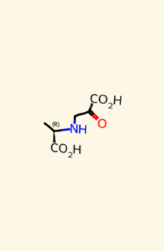 C[C@@H](NCC(=O)C(=O)O)C(=O)O